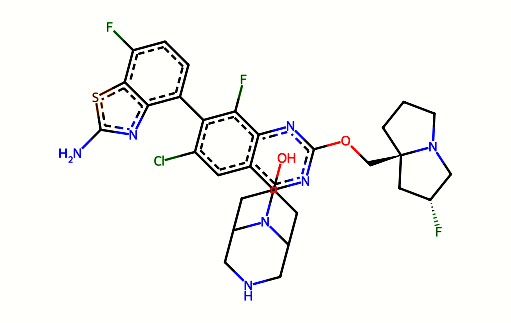 Nc1nc2c(-c3c(Cl)cc4c(N5C6CNCC5CC(O)C6)nc(OC[C@@]56CCCN5C[C@H](F)C6)nc4c3F)ccc(F)c2s1